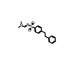 CN(C)C=NS(=O)(=O)c1ccc(CCc2ccccc2)cc1